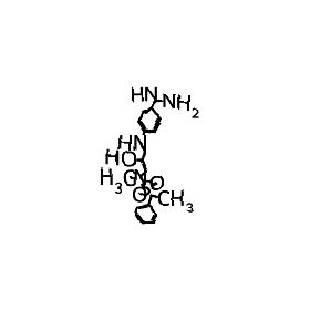 CC(c1ccccc1)S(=O)(=O)N(C)CC(O)CNc1ccc(C(=N)N)cc1